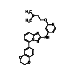 CN(C)CCOc1cc(Nc2nc3cccc(-c4ccc5c(c4)OCCO5)n3n2)ccn1